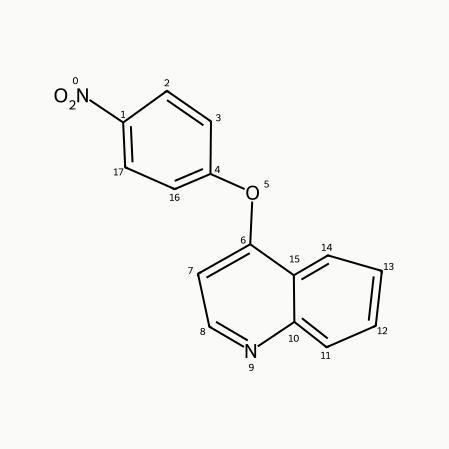 O=[N+]([O-])c1ccc(Oc2ccnc3ccccc23)cc1